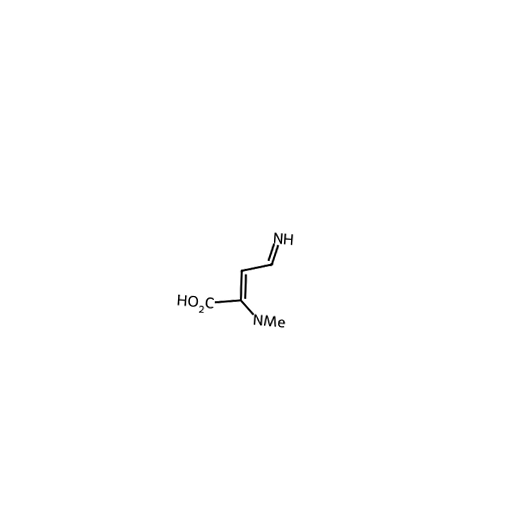 CN/C(=C\C=N)C(=O)O